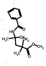 COC(=O)C(C)(C)CC(C)(C)NC(=O)c1ccccc1